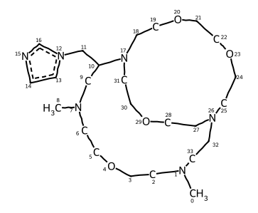 CN1CCOCCN(C)CC(Cn2ccnc2)N2CCOCCOCCN(CCOCC2)CC1